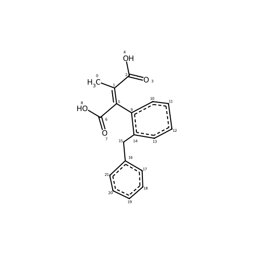 C/C(C(=O)O)=C(\C(=O)O)c1ccccc1Cc1ccccc1